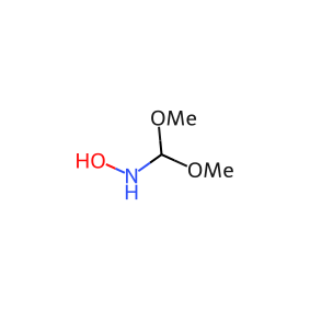 COC(NO)OC